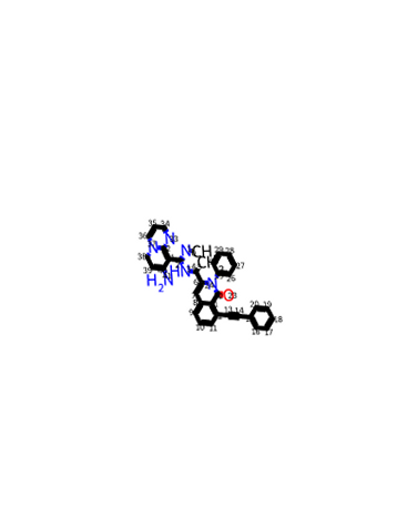 C/N=C(\NC(C)c1cc2cccc(C#Cc3ccccc3)c2c(=O)n1-c1ccccc1)C1=C2N=CC=CN2CC=C1N